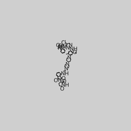 COc1cc(N2CCC(N3CCN(CCNc4cccc5c4C(=O)N(C4CCC(=O)NC4=O)C5=O)CC3)CC2)c(C)cc1Nc1ncc(Cl)c(Nc2ccccc2N(C)S(C)(=O)=O)n1